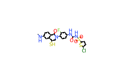 CNc1ccc2c(=O)n(-c3ccc(NC(=O)NS(=O)(=O)c4ccc(Cl)s4)cc3F)cc(S)c2c1